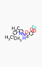 Cc1ccc(NC(=O)C2(c3ccc4c(c3)OC(F)(F)O4)CC2)nc1-c1cccc(C(C)C)c1